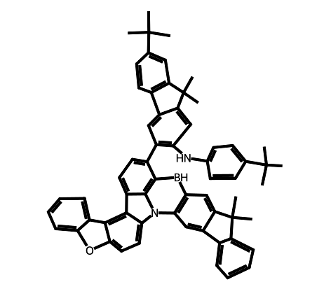 CC(C)(C)c1ccc(Nc2cc3c(cc2-c2ccc4c5c6c(ccc5n5c4c2Bc2cc4c(cc2-5)-c2ccccc2C4(C)C)oc2ccccc26)-c2ccc(C(C)(C)C)cc2C3(C)C)cc1